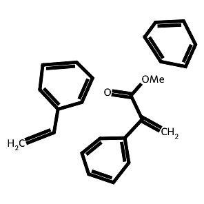 C=C(C(=O)OC)c1ccccc1.C=Cc1ccccc1.c1ccccc1